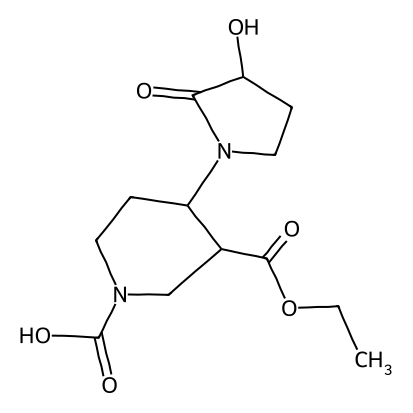 CCOC(=O)C1CN(C(=O)O)CCC1N1CCC(O)C1=O